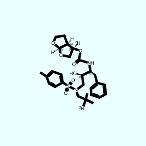 [2H]C(C)(C)CN(C[C@@H](O)[C@H](Cc1ccccc1)NC(=O)O[C@@]1([2H])CO[C@H]2OCC[C@H]21)S(=O)(=O)c1ccc(C)cc1